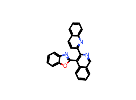 [c]1nc(-c2ccc3ccccc3n2)c(-c2nc3ccccc3o2)c2ccccc12